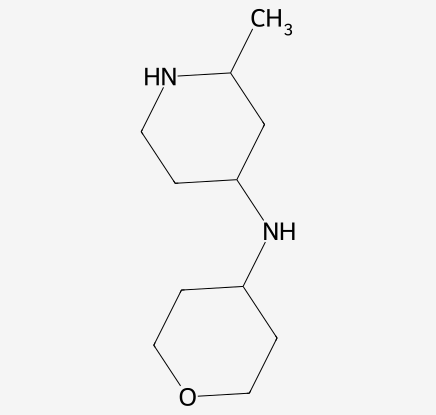 CC1CC(NC2CCOCC2)CCN1